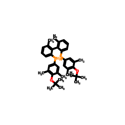 Cc1cc(Pc2cccc(C)c2-c2c(C)cccc2Pc2cc(C)c(OC(C)(C)C)c(C)c2)cc(C)c1OC(C)(C)C